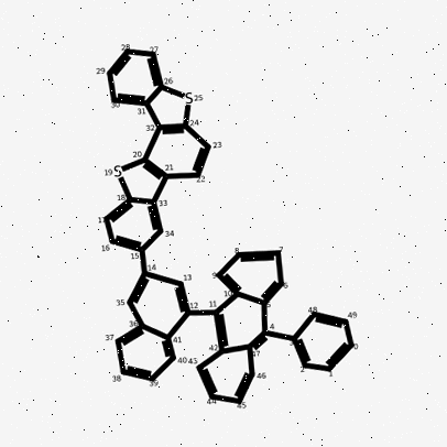 c1ccc(-c2c3ccccc3c(-c3cc(-c4ccc5sc6c(ccc7sc8ccccc8c76)c5c4)cc4ccccc34)c3ccccc23)cc1